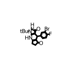 CC(C)(C)n1[nH]c(=O)c2c1NC1=C(C(=O)CC1)C2c1ccc(F)c(Br)c1